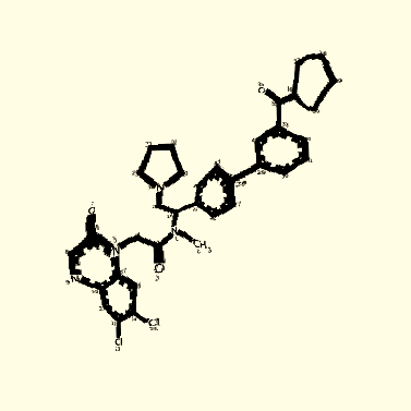 CN(C(=O)Cn1c(=O)cnc2cc(Cl)c(Cl)cc21)C(CN1CCCC1)c1ccc(-c2cccc(C(=O)C3CCCC3)c2)cc1